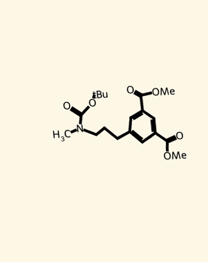 COC(=O)c1cc(CCCN(C)C(=O)OC(C)(C)C)cc(C(=O)OC)c1